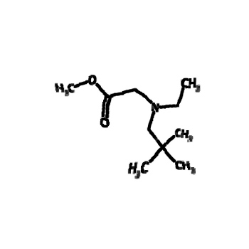 CCN(CC(=O)OC)CC(C)(C)C